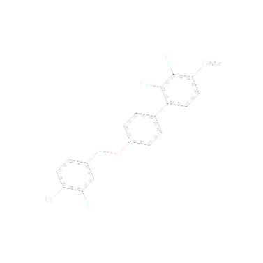 CCc1ccc(COc2ccc(-c3ccc(OC)c(F)c3F)cc2)cc1F